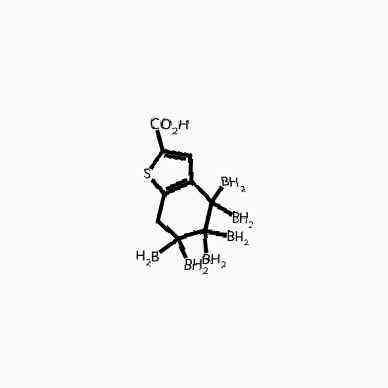 BC1(B)Cc2sc(C(=O)O)cc2C(B)(B)C1(B)B